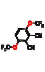 N#Cc1c(OC(F)(F)F)ccc(OC(F)(F)F)c1C#N